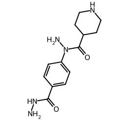 NNC(=O)c1ccc(N(N)C(=O)C2CCNCC2)cc1